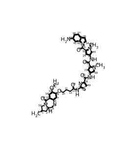 C=C1C[C@H]2C=Nc3cc(OCCCC(=O)Nc4nc(C(=O)Nc5cc(C(=O)Nc6cc(C(=O)n7ccc8ccc(N)cc87)n(C)c6)n(C)c5)cs4)c(OC)cc3C(=O)N2C1